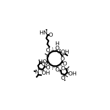 CC[C@H]1OC(=O)[C@H](C)[C@@H](O[C@H]2C[C@@](C)(OC)[C@@H](O)[C@H](C)O2)[C@H](C)[C@@H](O[C@@H]2O[C@H](C)C[C@H](N(C)C(C)C)[C@H]2O)[C@](C)(O)C[C@@H](C)[C@H](OCCCCC(=O)NC)[C@H](C)[C@@H](O)[C@]1(C)O